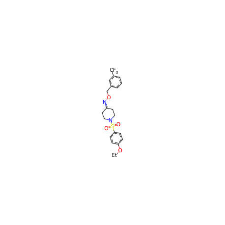 CCOc1ccc(S(=O)(=O)N2CCC(=NOCc3cccc(C(F)(F)F)c3)CC2)cc1